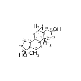 CC12CCC3C(C[C@H]4C[C@]45C[C@@H](O)CC[C@]35C)C1CC[C@@H]2O